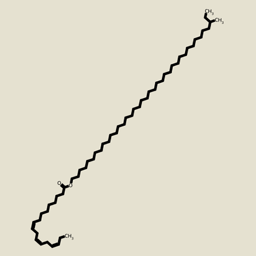 CC/C=C\C/C=C\C/C=C\CCCCCCCC(=O)OCCCCCCCCCCCCCCCCCCCCCCCCCCCCCCCCCCCCC(C)CC